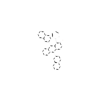 C1=CC2Sc3ccc4c(-c5ccc6ccccc6c5)c5ccccc5c(-c5ccc6ccccc6c5)c4c3C2C=C1